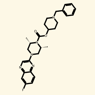 C[C@@H]1CN(c2cnc3cc(F)ccc3n2)C[C@H](C)N1C(=O)OC1CCN(Cc2ccccc2)CC1